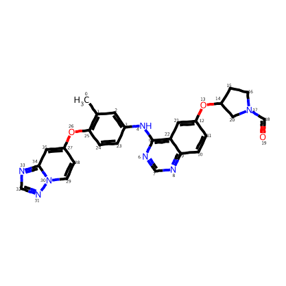 Cc1cc(Nc2ncnc3ccc(OC4CCN(C=O)C4)cc23)ccc1Oc1ccn2ncnc2c1